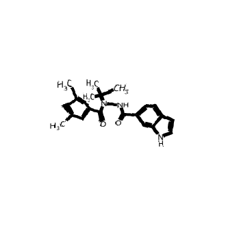 Cc1cc(C)cc(C(=O)N(NC(=O)c2ccc3cc[nH]c3c2)C(C)(C)C)c1